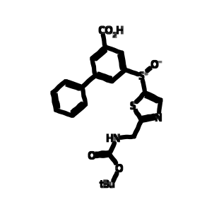 CC(C)(C)OC(=O)NCc1ncc([S+]([O-])c2cc(C(=O)O)cc(-c3ccccc3)c2)s1